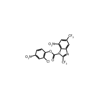 O=C(Oc1ccc([N+](=O)[O-])cc1Cl)n1c(C(F)(F)F)nc2cc(C(F)(F)F)cc([N+](=O)[O-])c21